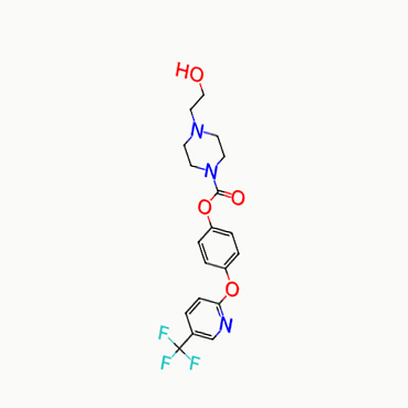 O=C(Oc1ccc(Oc2ccc(C(F)(F)F)cn2)cc1)N1CCN(CCO)CC1